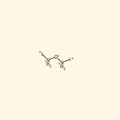 I[SiH2]O[SiH2]I